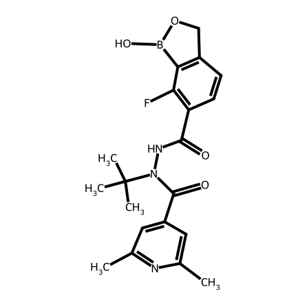 Cc1cc(C(=O)N(NC(=O)c2ccc3c(c2F)B(O)OC3)C(C)(C)C)cc(C)n1